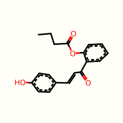 CCCC(=O)Oc1ccccc1C(=O)/C=C/c1ccc(O)cc1